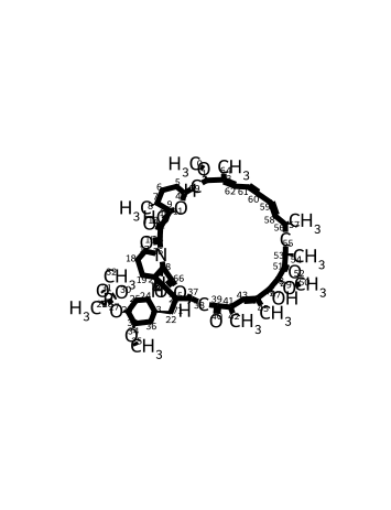 CO[C@H]1C[C@@H]2CC[C@@H](C)[C@@](O)(O2)C(=O)C(=O)N2CCC[C@@H]3C(C[C@@H]4CC[C@@H](OP(C)(=O)OC)[C@H](OC)C4)[C@H](CC(=O)C(C)/C=C(\C)[C@@H](O)[C@@H](OC)C(=O)[C@H](C)C[C@H](C)/C=C/C=C/C=C/1C)OC(=O)[C@H]32